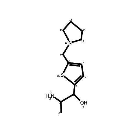 CC(N)C(O)c1ccc(CN2CCCC2)s1